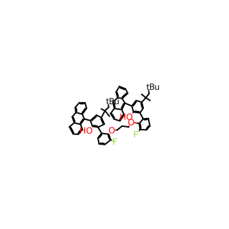 CC(C)(C)CC(C)(C)c1cc(-c2cccc(F)c2OCCCOc2c(F)cccc2-c2cc(C(C)(C)CC(C)(C)C)cc(-c3c4ccccc4cc4ccccc34)c2O)c(O)c(-c2c3ccccc3cc3ccccc23)c1